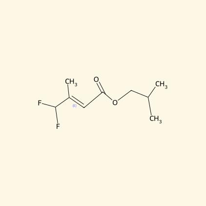 C/C(=C\C(=O)OCC(C)C)C(F)F